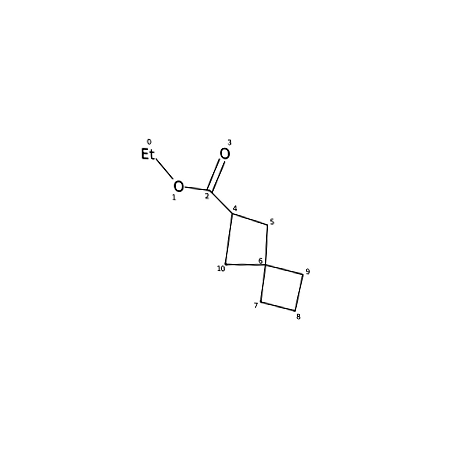 CCOC(=O)C1CC2(CCC2)C1